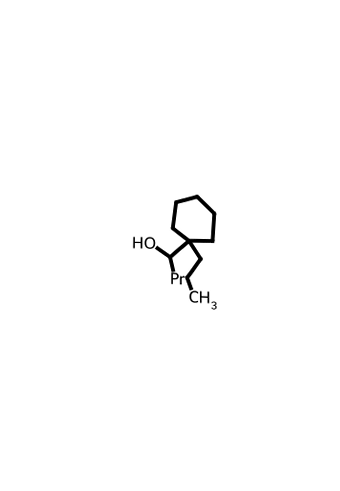 CCCC1([CH](O)[Pr])CCCCC1